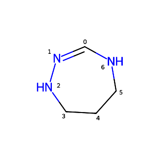 C1=NNCCCN1